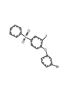 O=S(=O)(c1ccccc1)c1ccc(Oc2c[c]cc(Br)c2)c(F)c1